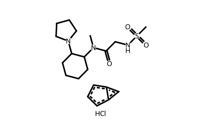 CN(C(=O)CNS(C)(=O)=O)C1CCCCC1N1CCCC1.Cl.c1cc2cc-2c1